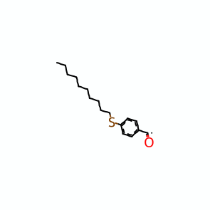 CCCCCCCCCCSc1ccc([C]=O)cc1